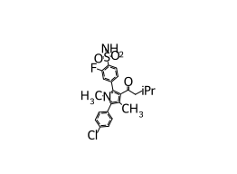 Cc1c(C(=O)CC(C)C)c(-c2ccc(S(N)(=O)=O)c(F)c2)n(C)c1-c1ccc(Cl)cc1